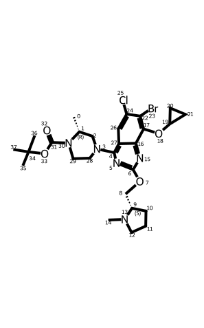 C[C@@H]1CN(c2nc(OC[C@@H]3CCCN3C)nc3c(OC4CC4)c(Br)c(Cl)cc23)CCN1C(=O)OC(C)(C)C